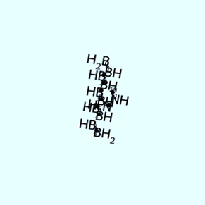 BBBBBBBBBB.CNN